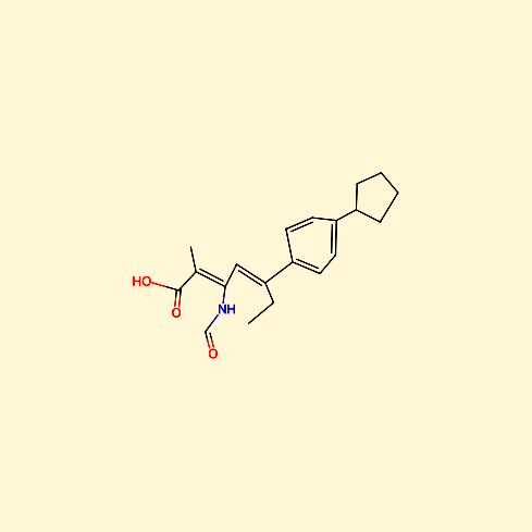 CC/C(=C\C(NC=O)=C(/C)C(=O)O)c1ccc(C2CCCC2)cc1